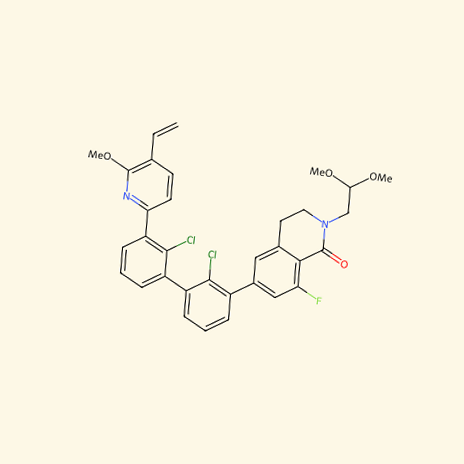 C=Cc1ccc(-c2cccc(-c3cccc(-c4cc(F)c5c(c4)CCN(CC(OC)OC)C5=O)c3Cl)c2Cl)nc1OC